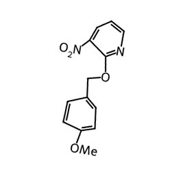 COc1ccc(COc2ncccc2[N+](=O)[O-])cc1